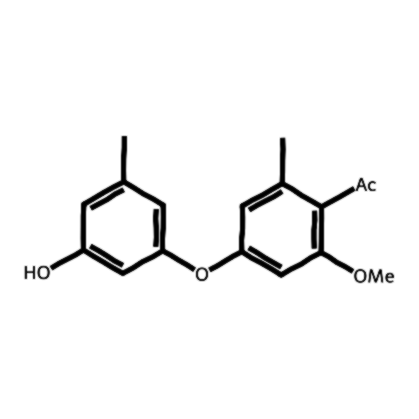 COc1cc(Oc2cc(C)cc(O)c2)cc(C)c1C(C)=O